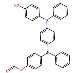 O=COc1ccc(N(c2ccccc2)c2ccc(N(c3ccccc3)c3ccc(O)cc3)cc2)cc1